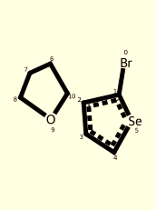 Brc1ccc[se]1.C1CCOC1